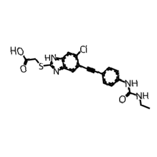 CCNC(=O)Nc1ccc(C#Cc2cc3nc(SCC(=O)O)[nH]c3cc2Cl)cc1